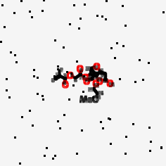 C=C(C)C(=O)OCC(=O)OC1C2OC(=O)C3C2OC1C3C(=O)OCCOC